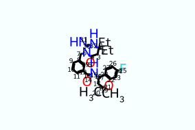 CCC1(CC)CC(=O)N(Cc2cccc(C(=O)N[C@H]3CC(C)(C)Oc4cc(F)ccc43)c2)C(=N)N1